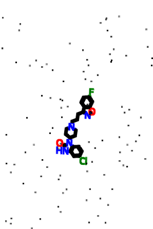 O=c1[nH]c2cc(Cl)ccc2n1C1CCN(CCCc2noc3cc(F)ccc23)CC1